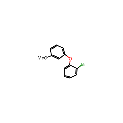 COc1cccc(Oc2ccccc2Br)c1